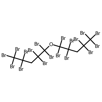 BrC(Br)(Br)C(Br)(Br)CC(Br)(Br)C(Br)(Br)OC(Br)(Br)C(Br)(Br)CC(Br)(Br)C(Br)(Br)Br